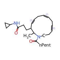 CCCCCC(=O)N1CC/C=C\C/C=C\C/C=C\C(CCC(=O)NC2CC2)C1C